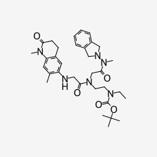 CCN(CCN(CC(=O)N(C)N1Cc2ccccc2C1)C(=O)CNc1cc2c(cc1C)N(C)C(=O)CC2)C(=O)OC(C)(C)C